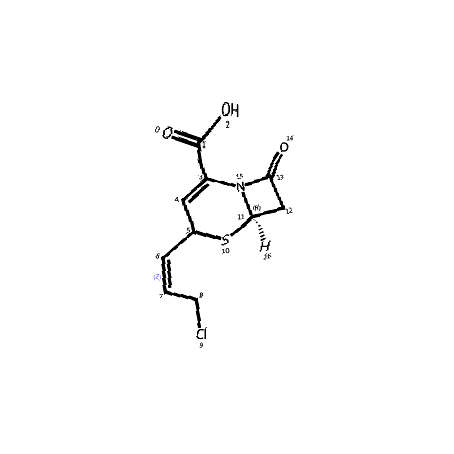 O=C(O)C1=CC(/C=C\CCl)S[C@@H]2CC(=O)N12